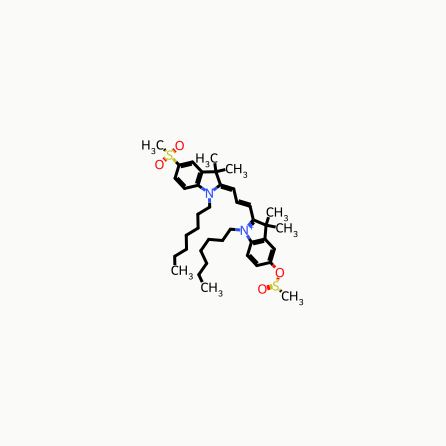 CCCCCCCN1C(=CC=CC2=[N+](CCCCCCC)c3ccc(OS(C)=O)cc3C2(C)C)C(C)(C)c2cc(S(C)(=O)=O)ccc21